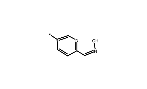 O/N=C\c1ccc(F)cn1